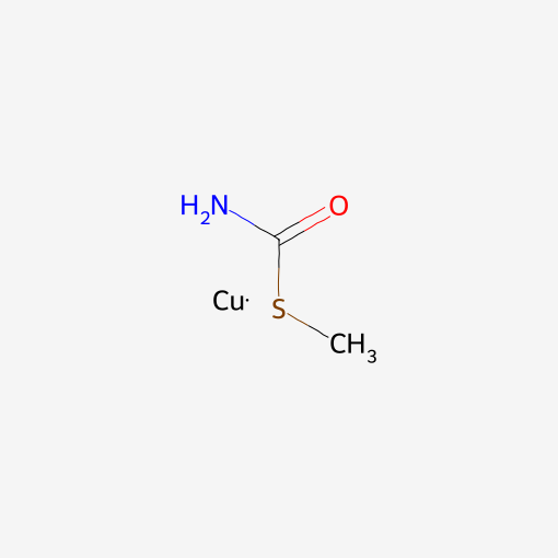 CSC(N)=O.[Cu]